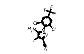 N#Cc1nn(-c2c(Cl)cc(C(F)(F)F)cc2Cl)c(N)c1I